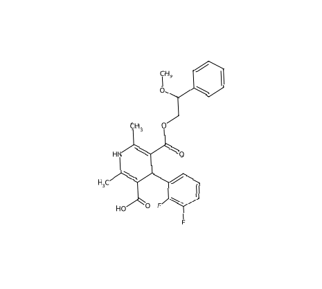 COC(COC(=O)C1=C(C)NC(C)=C(C(=O)O)C1c1cccc(F)c1F)c1ccccc1